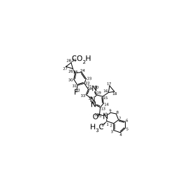 C[C@@H]1c2ccccc2CCN1C(=O)c1cc(C2CC2)c2nc(-c3ccc([C@H]4C[C@@H]4C(=O)O)cc3F)cn2n1